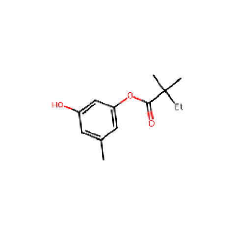 CCC(C)(C)C(=O)Oc1cc(C)cc(O)c1